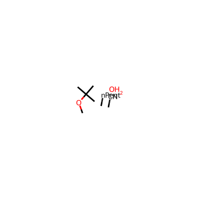 CC#N.CCCCCC.COC(C)(C)C.O